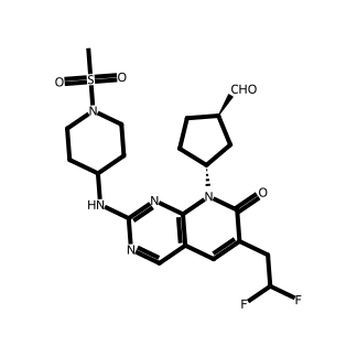 CS(=O)(=O)N1CCC(Nc2ncc3cc(CC(F)F)c(=O)n([C@@H]4CC[C@@H](C=O)C4)c3n2)CC1